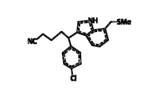 CSCc1cccc2c(C(CCCC#N)c3ccc(Cl)cc3)c[nH]c12